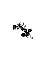 Cc1nc(-c2cccnc2)sc1C(=O)Nc1cn2nc(-c3c(-c4ccc(F)cc4)nn(C)c3N3CCOCC3)ccc2n1